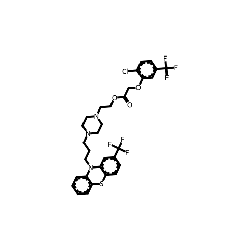 O=C(COc1cc(C(F)(F)F)ccc1Cl)OCCN1CCN(CCCN2c3ccccc3Sc3ccc(C(F)(F)F)cc32)CC1